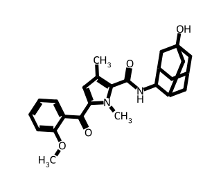 COc1ccccc1C(=O)c1cc(C)c(C(=O)NC2C3CC4CC2CC(O)(C4)C3)n1C